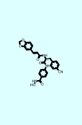 N#Cc1ccc(C[C@H](NC(=O)/C=C/c2ccc3c(c2)OCO3)C(=O)Nc2ccc(C(=O)NO)cc2)cc1